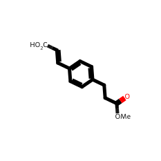 COC(=O)CCc1ccc(C=CC(=O)O)cc1